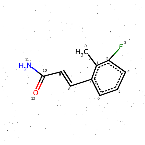 Cc1c(F)cccc1C=CC(N)=O